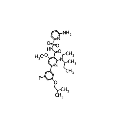 CC[C@H](C)N(CC)c1nc(-c2cc(F)cc(OCC(C)C)c2)cc(OC)c1C(=O)NS(=O)(=O)c1cccc(N)n1